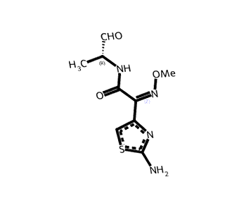 CO/N=C(\C(=O)N[C@H](C)C=O)c1csc(N)n1